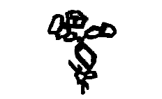 CC1(C)CCC(C)(C)c2c(-c3ccc(N(c4ccc5c(c4)C4(c6ccccc6S5)C5CC6CC7CC4C75C6)c4ccc5ccccc5c4)cc3)cccc21